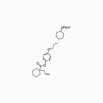 C=CCC1(C(=O)Oc2ccc(OCCC[C@H]3CC[C@H](CCCCC)CC3)cc2)CCCCC1